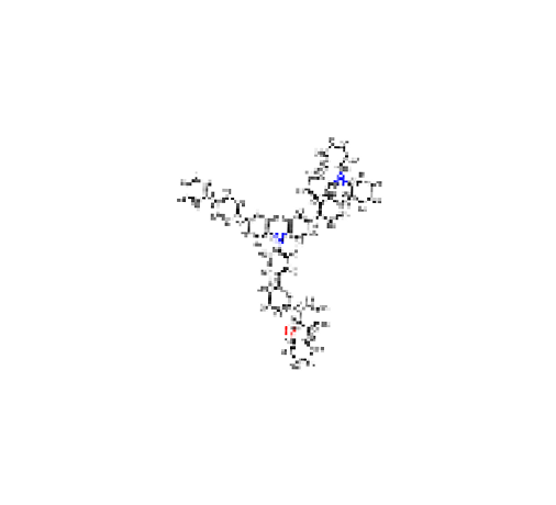 c1ccc(-c2ccc(-c3ccc(N(c4ccc(-c5ccc(-c6ccccc6-n6c7ccccc7c7ccccc76)cc5)cc4)c4ccc(-c5cccc(-c6cccc7c6oc6ccccc67)c5)cc4)cc3)cc2)cc1